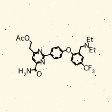 CCN(CC)Cc1cc(C(F)(F)F)ccc1Oc1ccc(-c2nc(CCOC(C)=O)cc(C(N)=O)n2)cc1